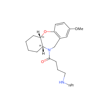 CCCNCCCC(=O)N1Cc2cc(OC)ccc2O[C@H]2CCCC[C@H]21